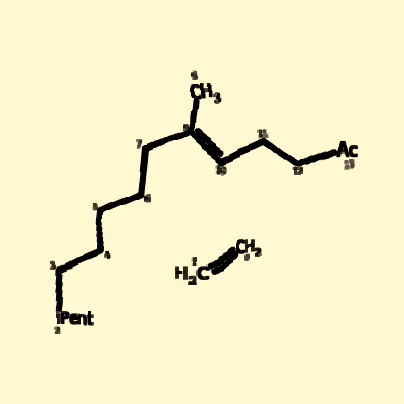 C=C.CCCC(C)CCCCCC(C)=CCCC(C)=O